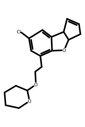 Clc1cc(CCOC2CCCCO2)c2c(c1)C1C=CCC1O2